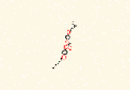 CCCCCCCOc1ccc(OC(=O)[C@H](C)Oc2ccc(OCCC[C@@H](C)CC)cc2)cc1